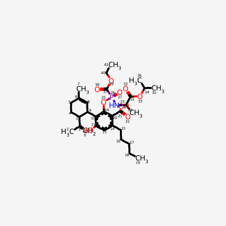 C=C(C)C1CCC(C)=CC1c1c(O)cc(CCCCC)c(C(=O)O)c1OP(=O)(NC(C)C(=O)OC(C)C)C(=O)OCC